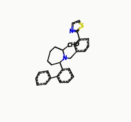 O=CC1CCCCC(c2ccccc2-c2ccccc2)N1Cc1cccc(-c2nccs2)c1